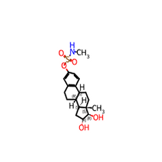 CNS(=O)(=O)Oc1ccc2c(c1)CC[C@@H]1[C@@H]2CC[C@]2(C)[C@@H](O)[C@H](O)C[C@@H]12